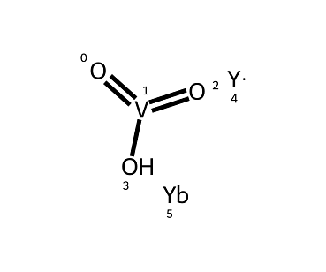 [O]=[V](=[O])[OH].[Y].[Yb]